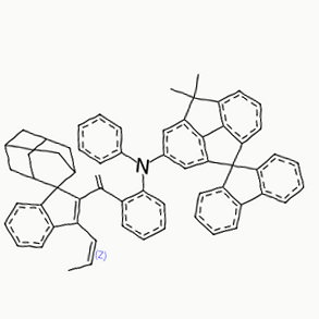 C=C(C1=C(/C=C\C)c2ccccc2C12C1CC3CC(C1)CC2C3)c1ccccc1N(c1ccccc1)c1cc2c3c(c1)C1(c4ccccc4-c4ccccc41)c1cccc(c1-3)C2(C)C